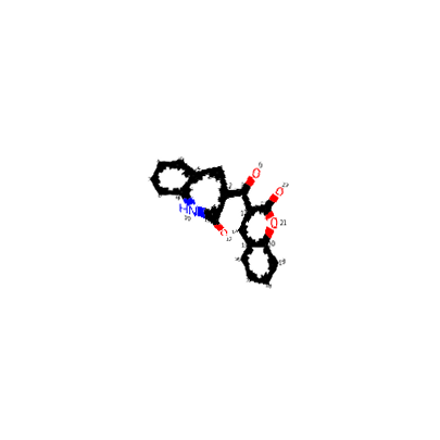 O=C(c1cc2ccccc2[nH]c1=O)c1cc2ccccc2oc1=O